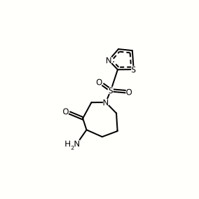 NC1CCCN(S(=O)(=O)c2nccs2)CC1=O